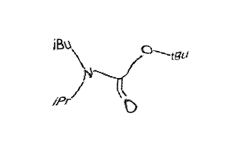 CCC(C)N(C(=O)OC(C)(C)C)C(C)C